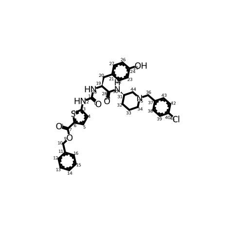 O=C(Nc1ccc(C(=O)OCc2ccccc2)s1)N[C@@H](Cc1ccc(O)cc1)C(=O)N[C@H]1CCCN(Cc2ccc(Cl)cc2)C1